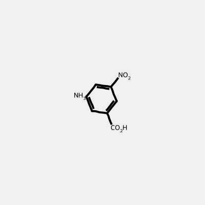 N.O=C(O)c1cccc([N+](=O)[O-])c1